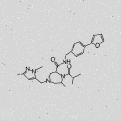 Cc1cc(CN2CC(C)N(C(=O)C(C)C)C(C(=O)NCc3ccc(-c4ccco4)cc3)C2)n(C)n1